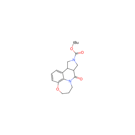 CC(C)(C)OC(=O)N1CC2C(=O)N3CCCOc4cccc(c43)C2C1